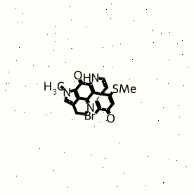 CSC1=CC(=O)C(Br)=C[C@]12C=CNC1=C2C2=NCCc3cn(C)c(c32)C1=O